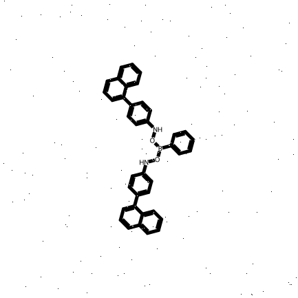 c1ccc(B(ONc2ccc(-c3cccc4ccccc34)cc2)ONc2ccc(-c3cccc4ccccc34)cc2)cc1